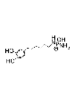 NP(=O)(O)NCCCCCCc1ccc(O)c(O)c1